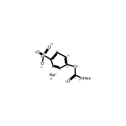 CCCCCCC(=O)Oc1ccc(S(=O)(=O)[O-])cc1.[Na+]